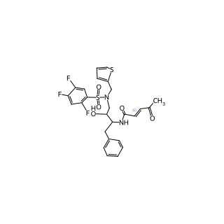 CC(=O)/C=C/C(=O)NC(Cc1ccccc1)C(O)CN(Cc1cccs1)S(=O)(=O)c1cc(F)c(F)cc1F